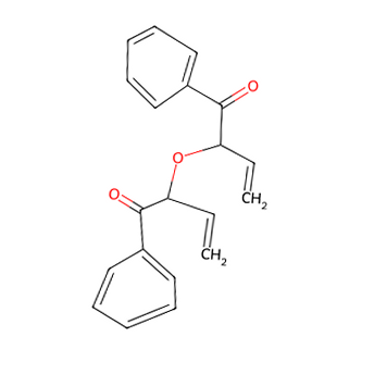 C=CC(OC(C=C)C(=O)c1ccccc1)C(=O)c1ccccc1